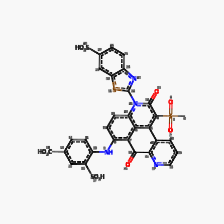 CS(=O)(=O)c1c2c3c(c(Nc4ccc(C(=O)O)cc4S(=O)(=O)O)ccc3n(-c3nc4ccc(S(=O)(=O)O)cc4s3)c1=O)C(=O)c1ncccc1-2